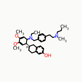 CCCN(C)CCc1ccc(CN(CC)C2C=C(OC)C(OC)=CC2[C@@H]2CCc3cc(O)ccc3C2)cc1